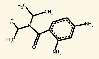 CC(C)N(C(=O)c1ccc(N)cc1N)C(C)C